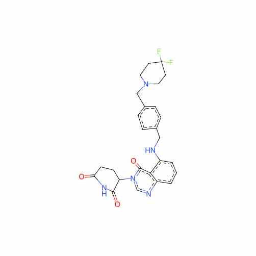 O=C1CCC(n2cnc3cccc(NCc4ccc(CN5CCC(F)(F)CC5)cc4)c3c2=O)C(=O)N1